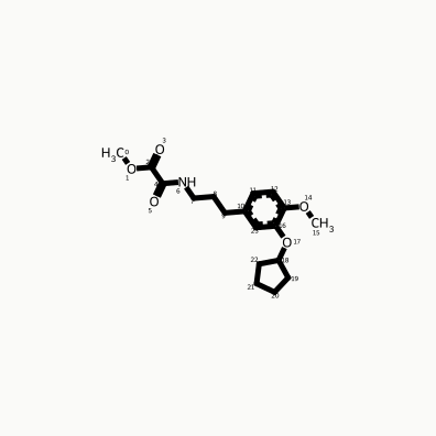 COC(=O)C(=O)NCCCc1ccc(OC)c(OC2CCCC2)c1